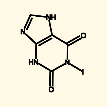 O=c1[nH]c2nc[nH]c2c(=O)n1I